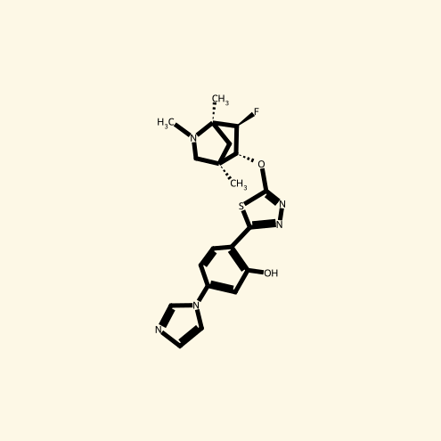 CN1C[C@@]2(C)C[C@]1(C)[C@@H](F)[C@@H]2Oc1nnc(-c2ccc(-n3ccnc3)cc2O)s1